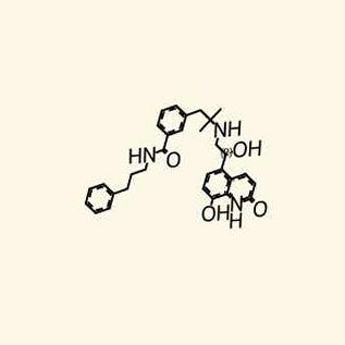 CC(C)(Cc1cccc(C(=O)NCCCc2ccccc2)c1)NC[C@H](O)c1ccc(O)c2[nH]c(=O)ccc12